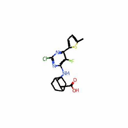 Cc1ccc(-c2nc(Cl)nc(NC3C4CCC(CC4)C3C(=O)O)c2F)s1